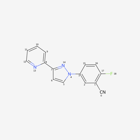 N#Cc1cc(-n2ccc(-c3ccccn3)n2)ccc1F